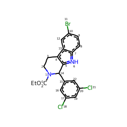 CCOC(=O)N1CCc2c([nH]c3ccc(Br)cc23)C1c1cc(Cl)cc(Cl)c1